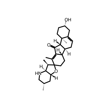 CC1=C2C(=O)[C@H]3[C@@H](CC=C4C[C@@H](O)CC[C@@]43C)[C@@H]2CCC12O[C@@H]1C[C@H](C)CN[C@H]1[C@H]2C